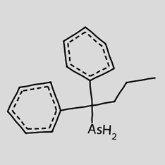 CCCC([AsH2])(c1ccccc1)c1ccccc1